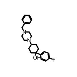 OC1(c2ccc(F)cc2)CCC(N2CCN(Cc3ccccc3)CC2)CC1